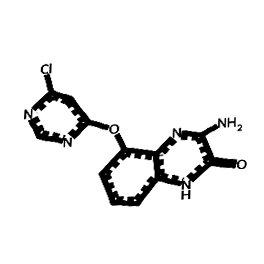 Nc1nc2c(Oc3cc(Cl)ncn3)cccc2[nH]c1=O